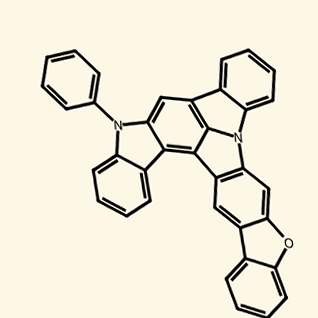 c1ccc(-n2c3ccccc3c3c4c5cc6c(cc5n5c7ccccc7c(cc32)c45)oc2ccccc26)cc1